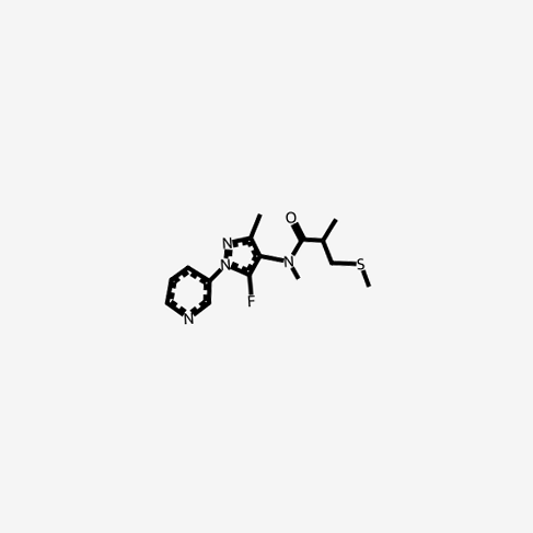 CSCC(C)C(=O)N(C)c1c(C)nn(-c2cccnc2)c1F